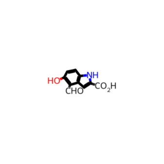 O=Cc1c(O)ccc2[nH]c(C(=O)O)cc12